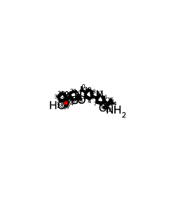 C[C@@H](c1ccc(-c2ccc(C3(C(N)=O)CC3)cn2)cc1)N1CC[C@](CC(C)(C)O)(c2ccccc2)OC1=O